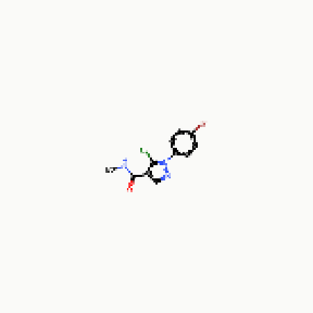 CCNC(=O)c1cnn(-c2ccc(Br)cc2)c1Cl